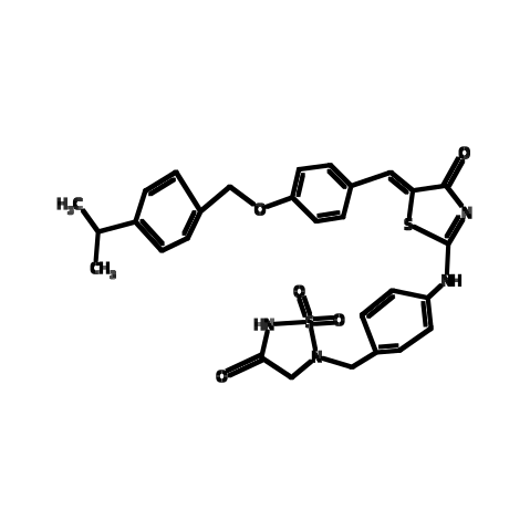 CC(C)c1ccc(COc2ccc(/C=C3\SC(Nc4ccc(CN5CC(=O)NS5(=O)=O)cc4)=NC3=O)cc2)cc1